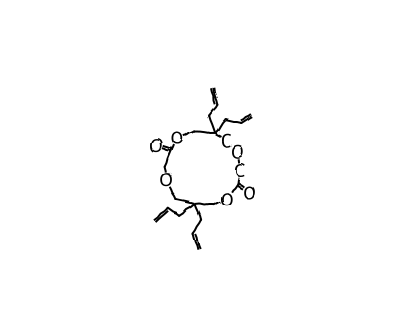 C=CCC1(CC=C)COCC(=O)OCC(CC=C)(CC=C)COCC(=O)OC1